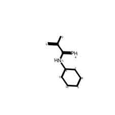 C=C(C)C(=P)NC1CCCCC1